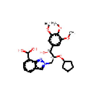 COc1cc([C@@H](O)[C@H](Cn2cc3cccc(C(O)O)c3n2)OC2CCCC2)cc(OC)c1OC